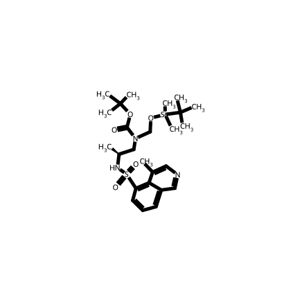 Cc1cncc2cccc(S(=O)(=O)N[C@@H](C)CN(CO[Si](C)(C)C(C)(C)C)C(=O)OC(C)(C)C)c12